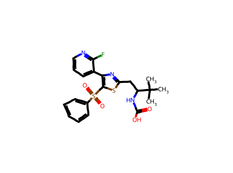 CC(C)(C)C(Cc1nc(-c2cccnc2F)c(S(=O)(=O)c2ccccc2)s1)NC(=O)O